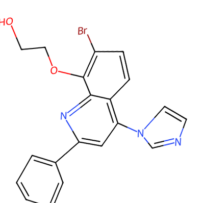 OCCOc1c(Br)ccc2c(-n3ccnc3)cc(-c3ccccc3)nc12